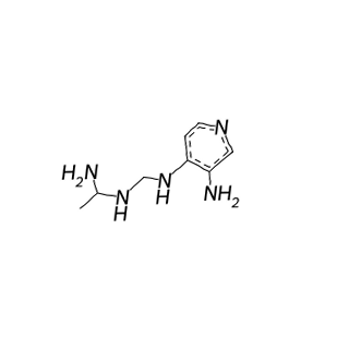 CC(N)NCNc1ccncc1N